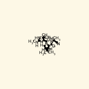 CNC(=S)N[C@H](C(=O)N1C[C@H]2[C@@H]([C@H]1C(=O)N[C@@H](C)C#N)C2(C)C)C(C)(C)C